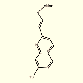 CCCCCCCCCCC=Cc1ccc2ccc(O)cc2n1